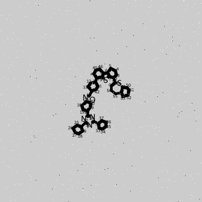 C1=C(c2cccc3c2sc2c(-c4ccc(-c5nc6ccc(-c7nc(-c8ccccc8)nc(-c8ccccc8)n7)cc6o5)cc4)cccc23)Sc2ccccc2CC1